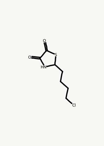 O=C1NC(CCCCCl)SC1=O